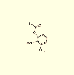 CCC(=O)Oc1cccc(C)c1OC